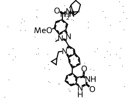 COc1cc(C(=O)N2CC3CCC2[C@@H]3N)cc2nc(-c3cc4ccc(-c5cccc6[nH]c(=O)[nH]c(=O)c56)cc4n3CC3CC3)n(C)c12